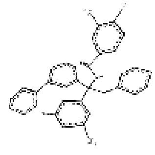 O=C(NC(Cc1ccccc1)(c1cccc(-c2ccccc2)c1)c1cc(F)cc(C(F)(F)F)c1)c1ccc(F)c(C(F)(F)F)c1